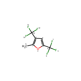 Cc1oc(C(F)(F)F)cc1C(F)(F)F